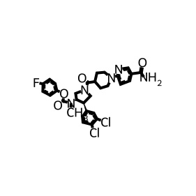 CN(C(=O)Oc1ccc(F)cc1)[C@@H]1CN(C(=O)C2CCN(c3ccc(C(N)=O)cn3)CC2)C[C@H]1c1ccc(Cl)c(Cl)c1